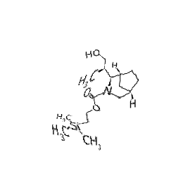 C[C@@H](CO)[C@H]1[C@@H]2CC[C@@H](C2)CN1C(=O)OCC[Si](C)(C)C